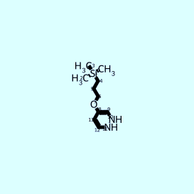 C[Si](C)(C)CCCOC1=CNNC=C1